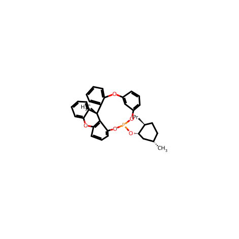 CC(C)[C@H]1CC[C@H](C)C[C@@H]1OP1Oc2cccc(c2)Oc2ccccc2[C@@]2(C)c3ccccc3Oc3cccc(c32)O1